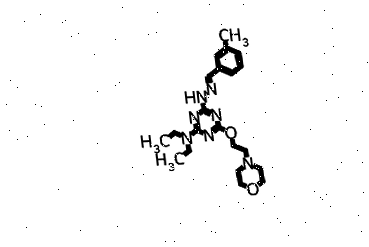 CCN(CC)c1nc(N/N=C/c2cccc(C)c2)nc(OCCN2CCOCC2)n1